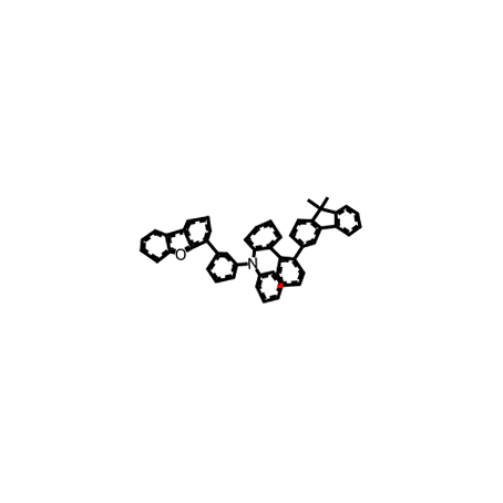 CC1(C)c2ccccc2-c2cc(-c3ccccc3-c3ccccc3N(c3ccccc3)c3cccc(-c4cccc5c4oc4ccccc45)c3)ccc21